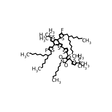 CCCCCCCCC(CCCCCC)Cc1sc(-c2c3cc(C(C)(C)C)sc3c(-c3cc(F)c(CC(CCCCCC)CCCCCCCC)s3)c3cc(-c4ccc(-c5sc(-c6ccc(C(C)(C)C)s6)c6c5C(=O)N(CCCCCCCC)C6=O)s4)sc23)cc1F